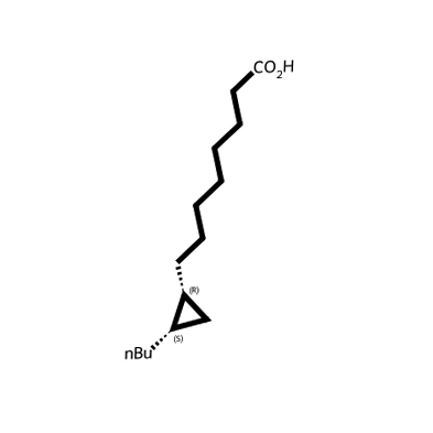 CCCC[C@H]1C[C@H]1CCCCCCCC(=O)O